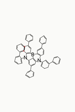 C1=C(c2ccccc2)CCC=C1N1c2ccc(-c3ccccc3)cc2B2c3cc(-c4ccccc4)ccc3N(c3ccccc3-c3ccccc3)c3cc(-c4ccccc4)cc1c32